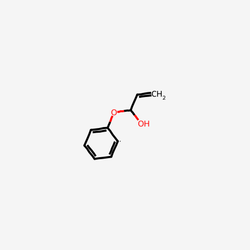 C=CC(O)Oc1[c]cccc1